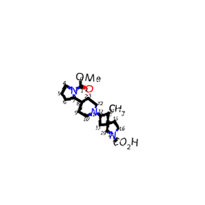 COC(=O)N1CCCC1C1CCN(C2CC3(CCN(C(=O)O)C3)C2C)CC1